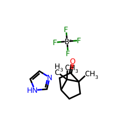 CC12CCC(CC1=O)C2(C)C.F[B-](F)(F)F.c1c[nH]cn1